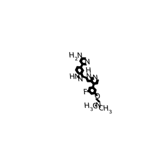 CN(C)CCOc1cc(F)cc(-c2ccnc3[nH]c(-c4n[nH]c5ccc(-c6cncc(N)c6)cc45)cc23)c1